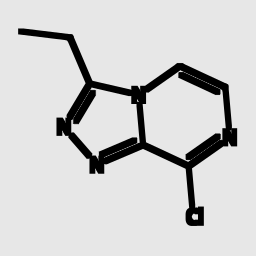 CCc1nnc2c(Cl)nccn12